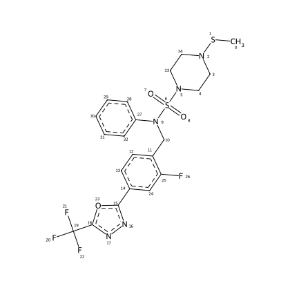 CSN1CCN(S(=O)(=O)N(Cc2ccc(-c3nnc(C(F)(F)F)o3)cc2F)c2ccccc2)CC1